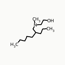 CCCCCC(CCC)CN(C)CCO